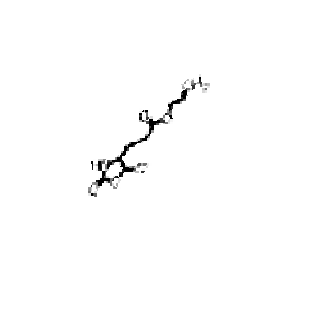 C=CCOC(=O)CCC1NC(=O)OC1=O